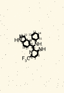 N=C1C=CC(C(F)(F)F)=N/C1=C(/Nc1ccccc1)c1ccc2[nH]ncc2c1